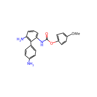 COc1ccc(OC(=O)Nc2cccc(N)c2-c2ccc(N)cc2)cc1